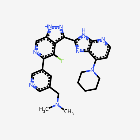 CN(C)Cc1cncc(-c2ncc3[nH]nc(-c4nc5c(N6CCCCC6)ccnc5[nH]4)c3c2F)c1